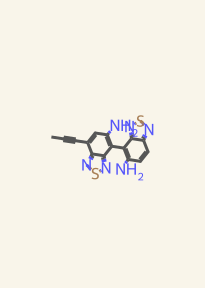 CC#Cc1cc(N)c(-c2c(N)ccc3nsnc23)c2nsnc12